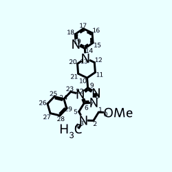 COCCN(C)Cc1nnc(C2CCN(c3ccccn3)CC2)n1CC1=CCCC=C1